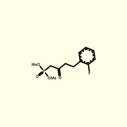 COP(=O)(CC(=O)CCc1ccccc1F)OC